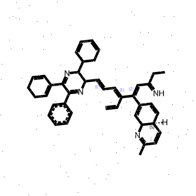 C=CC(=C\C=C\C1N=C(c2ccccc2)C(C2=CCCC=C2)=NC1C1C=CC=CC1)/C(=C/C(=N)CC)C1=CC2N=C(C)C=C[C@@H]2C=C1